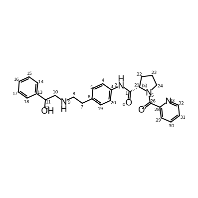 O=C(Nc1ccc(CCNCC(O)c2ccccc2)cc1)[C@@H]1CCCN1C(=O)c1ccccn1